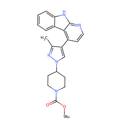 Cc1nn(C2CCN(C(=O)OC(C)(C)C)CC2)cc1-c1ccnc2[nH]c3ccccc3c12